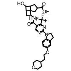 O=C(NC1CC2C(O)C3CC(C(=O)O)CC132)c1cnc(N2CCc3cc(OCCC4CCOCC4)ccc32)nc1C(F)(F)F